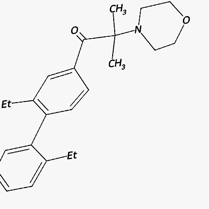 CCc1ccccc1-c1ccc(C(=O)C(C)(C)N2CCOCC2)cc1CC